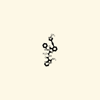 C[C@H](NC(=O)c1c(N)nn2cccnc12)c1nc2cccc(C#Cc3cnn(C)c3)c2c(=O)n1Nc1ccccc1